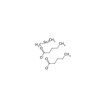 CCCCC(=O)[O-].CCCCC(=O)[O-].[CH3][Sn+2][CH3]